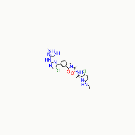 CCNc1ccc(Cl)c([C@@H](C)NC(=O)[C@@H](C)N2Cc3ccc(-c4nc(N/C(C=N)=N/NC)ncc4Cl)cc3C2=O)n1